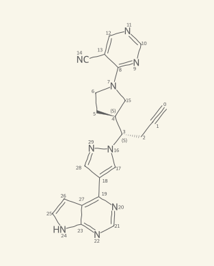 C#CC[C@@H]([C@H]1CCN(c2ncncc2C#N)C1)n1cc(-c2ncnc3[nH]ccc23)cn1